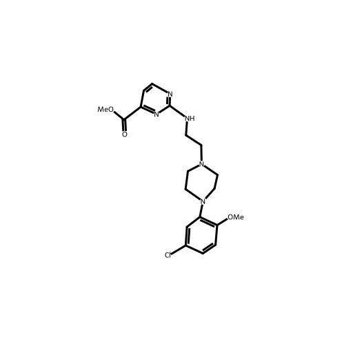 COC(=O)c1ccnc(NCCN2CCN(c3cc(Cl)ccc3OC)CC2)n1